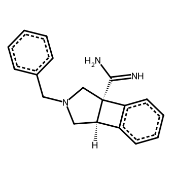 N=C(N)[C@@]12CN(Cc3ccccc3)C[C@@H]1c1ccccc12